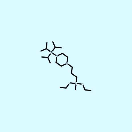 CCO[Si](C)(CCCN1CCN([Si](C(C)C)(C(C)C)C(C)C)CC1)OCC